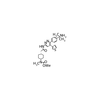 COC(=O)N(C)[C@H]1CC[C@H](CC(=O)Nc2cc(-c3ccsc3)c(-c3ccc(C(C)(C)N)cc3)nn2)CC1